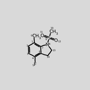 Cc1ccc(F)c2c1N(S(C)(=O)=O)CC2